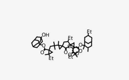 CCC1CC2CC(C)C(C)(OC(=O)C3(CC(C)(C)CC)CC3(C)C(CC)CC3(C(=O)OC4CCOC4=O)CC3(C)C(C)(C)CC3(C(=O)OC45CC6CC(CC(O)(C6)C4)C5)CC3(C)CC)C(C1)C2